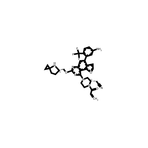 C=CC(=O)N1CCN(c2nc(OC[C@@H]3CCC4(CC4)N3)nc3cc(-c4cc(N)ccc4C(F)(F)F)c4ccoc4c23)C[C@@H]1CC#N